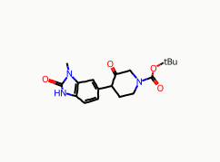 Cn1c(=O)[nH]c2ccc(C3CCN(C(=O)OC(C)(C)C)CC3=O)cc21